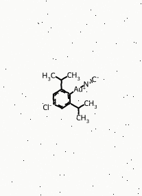 [C-]#[N+][Au+][c]1c(C(C)C)cccc1C(C)C.[Cl-]